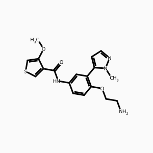 COc1cscc1C(=O)Nc1ccc(OCCN)c(-c2ccnn2C)c1